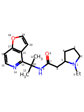 CCN1CCCC1CC(=O)NC(C)(C)c1nccc2occc12